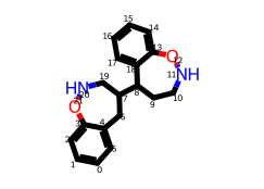 c1ccc2c(c1)CC(C1CCNOc3ccccc31)CNO2